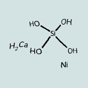 O[Si](O)(O)O.[CaH2].[Ni]